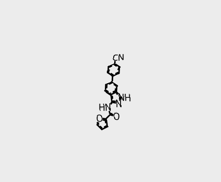 N#Cc1ccc(-c2ccc3c(NC(=O)c4ccco4)n[nH]c3c2)cc1